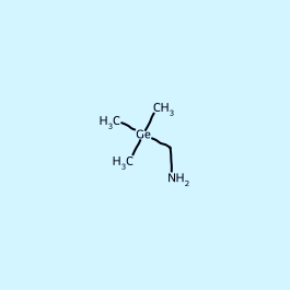 [CH3][Ge]([CH3])([CH3])[CH2]N